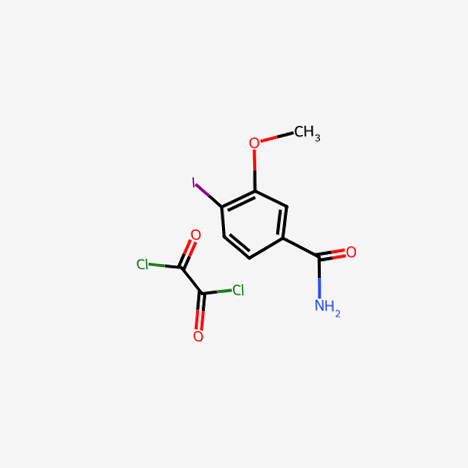 COc1cc(C(N)=O)ccc1I.O=C(Cl)C(=O)Cl